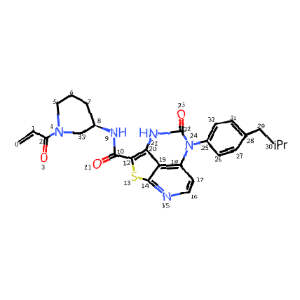 C=CC(=O)N1CCC[C@@H](NC(=O)c2sc3nccc4c3c2NC(=O)N4c2ccc(CC(C)C)cc2)C1